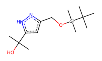 CC(C)(O)c1cc(CO[Si](C)(C)C(C)(C)C)n[nH]1